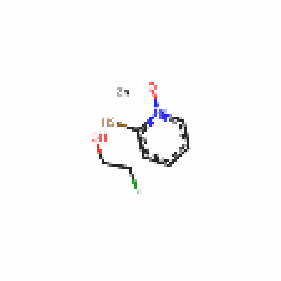 OCCF.[O-][n+]1ccccc1S.[Zn]